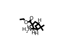 CCOC(=O)[C@@H]1C[C@H]2C[C@@H]([C@H]1N)C2(C)C